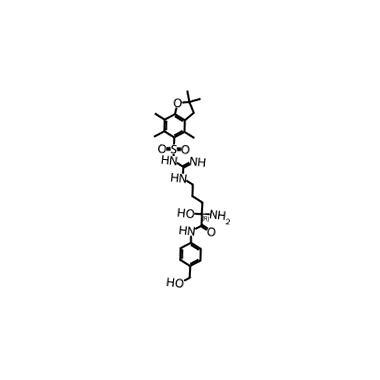 Cc1c(C)c(S(=O)(=O)NC(=N)NCCC[C@@](N)(O)C(=O)Nc2ccc(CO)cc2)c(C)c2c1OC(C)(C)C2